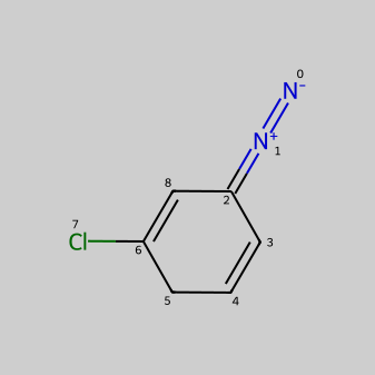 [N-]=[N+]=C1C=CCC(Cl)=C1